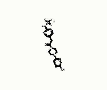 CS(=O)(=O)Nc1ncc(CC(=O)N2CCN(c3ccc(C#N)nn3)CC2)cn1